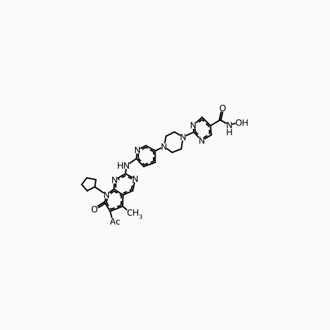 CC(=O)c1c(C)c2cnc(Nc3ccc(N4CCN(c5ncc(C(=O)NO)cn5)CC4)cn3)nc2n(C2CCCC2)c1=O